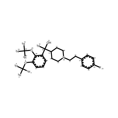 [2H]C([2H])([2H])Oc1cccc(C([2H])(O)C2CCN(CCc3ccc(F)cc3)CC2)c1OC([2H])([2H])[2H]